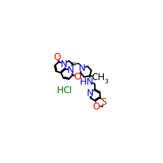 CC1(NCc2cc3c(cn2)OCS3)CCN(C[C@@H]2Cn3c(=O)ccc4ccc(=O)n2c43)CC1.Cl